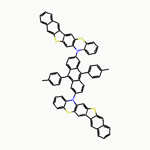 Cc1ccc(-c2c3ccc(N4c5ccccc5Sc5cc6c(cc54)sc4cc5ccccc5cc46)cc3c(-c3ccc(C)cc3)c3ccc(N4c5ccccc5Sc5cc6c(cc54)sc4cc5ccccc5cc46)cc23)cc1